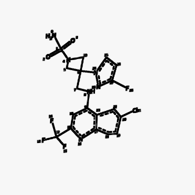 NS(=O)(=O)N1CC(CNc2cc(C(F)(F)F)nc3ccc(Cl)cc23)(n2ccc(F)n2)C1